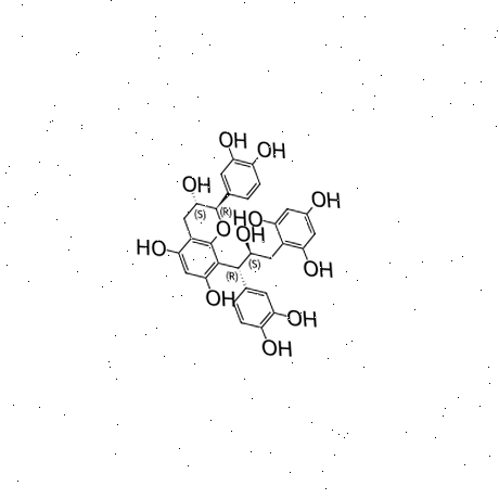 Oc1cc(O)c(C[C@H](O)[C@H](c2ccc(O)c(O)c2)c2c(O)cc(O)c3c2O[C@H](c2ccc(O)c(O)c2)[C@@H](O)C3)c(O)c1